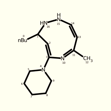 CCCCC1/C=C(N2CCCCC2)/N=C(C)\C=C/NN1